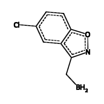 BCc1noc2ccc(Cl)cc12